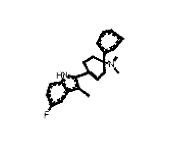 Cc1c(C2=CCC(c3ccccc3)(N(C)C)CC2)[nH]c2ccc(F)cc12